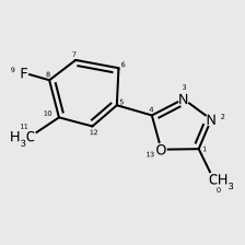 Cc1nnc(-c2ccc(F)c(C)c2)o1